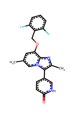 Cc1cc(OCc2c(F)cccc2F)c2nc(C)c(-c3ccc(=O)[nH]c3)n2c1